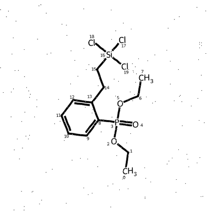 CCOP(=O)(OCC)c1ccccc1CC[Si](Cl)(Cl)Cl